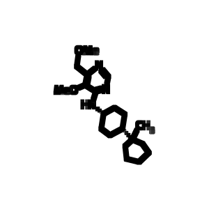 COCc1ncnc(N[C@H]2CC[C@@H](C3(C)CCCCC3)CC2)c1OC